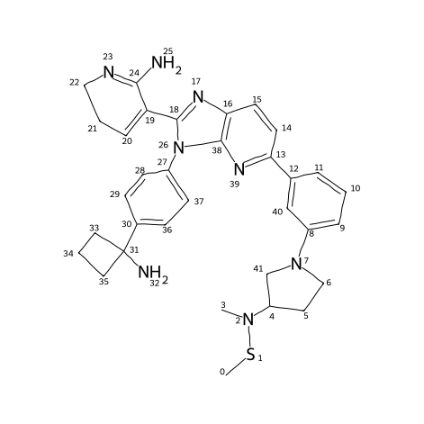 CSN(C)C1CCN(c2cccc(-c3ccc4nc(C5=CCCN=C5N)n(-c5ccc(C6(N)CCC6)cc5)c4n3)c2)C1